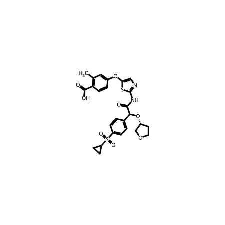 Cc1cc(Oc2cnc(NC(=O)C(O[C@@H]3CCOC3)c3ccc(S(=O)(=O)C4CC4)cc3)s2)ccc1C(=O)O